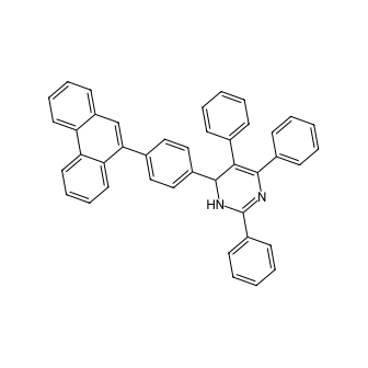 c1ccc(C2=NC(c3ccccc3)=C(c3ccccc3)C(c3ccc(-c4cc5ccccc5c5ccccc45)cc3)N2)cc1